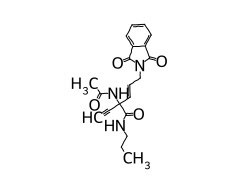 C#CC(C=CCN1C(=O)c2ccccc2C1=O)(NC(C)=O)C(=O)NCCC